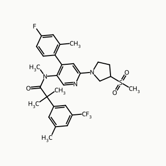 Cc1cc(C(F)(F)F)cc(C(C)(C)C(=O)N(C)c2cnc(N3CCC(S(C)(=O)=O)C3)cc2-c2ccc(F)cc2C)c1